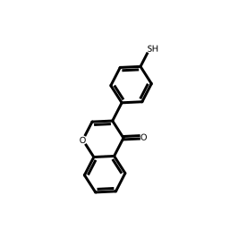 O=c1c(-c2ccc(S)cc2)coc2ccccc12